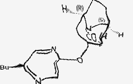 CCCCc1cnc(OC2C[C@H]3CC[C@@H](C2)N3C(=O)O)cn1